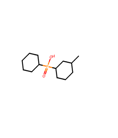 CC1CCCC(P(=O)(O)C2CCCCC2)C1